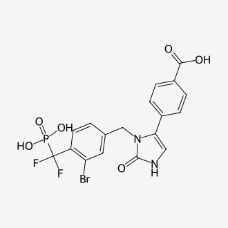 O=C(O)c1ccc(-c2c[nH]c(=O)n2Cc2ccc(C(F)(F)P(=O)(O)O)c(Br)c2)cc1